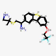 CC(C)(CN)SCC(N)c1ccc2sc3ccc(OCC(F)(F)F)cc3c2c1